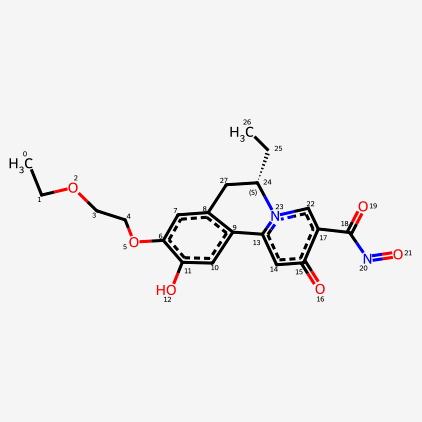 CCOCCOc1cc2c(cc1O)-c1cc(=O)c(C(=O)N=O)cn1[C@@H](CC)C2